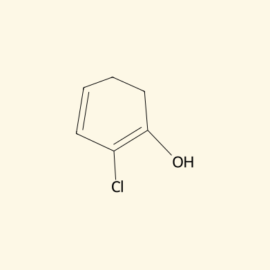 OC1=C(Cl)C=CCC1